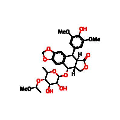 COc1cc([C@@H]2c3cc4c(cc3[C@@H](O[C@@H]3OC(C)[C@@H](O[C@H](C)OC)[C@H](O)[C@H]3O)[C@H]3COC(=O)[C@H]23)OCO4)cc(OC)c1O